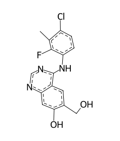 Cc1c(Cl)ccc(Nc2ncnc3cc(O)c(CO)cc23)c1F